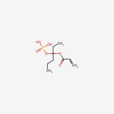 C=CC(=O)OC(CC)(CCC)OP(=O)(O)O